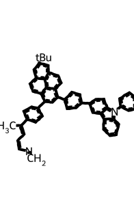 C=N/C=C\C=C(/C)c1ccc(-c2cc(-c3ccc(-c4ccc5c(c4)c4ccccc4n5-c4ccccc4)cc3)c3ccc4cc(C(C)(C)C)cc5ccc2c3c54)cc1